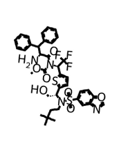 COC(=O)N(C(=O)[C@@H](N)C(c1ccccc1)c1ccccc1)[C@H](c1ccc([C@@H](CO)N(CCC(C)(C)C)S(=O)(=O)c2ccc3ocnc3c2)s1)C(F)(F)F